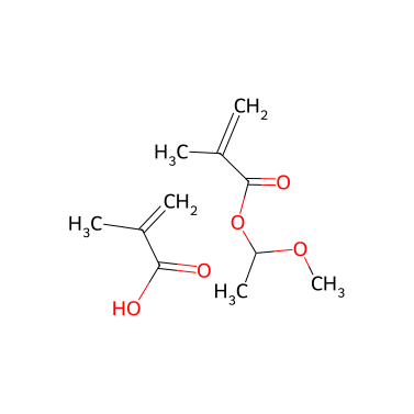 C=C(C)C(=O)O.C=C(C)C(=O)OC(C)OC